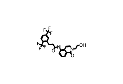 O=C(CCc1cc(C(F)(F)F)ccc1C(F)(F)F)Nc1cccc2c(=O)n(CCO)ccc12